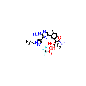 Cc1ccc(C(O)(C(N)=O)C(F)(F)F)cc1-c1cnc(N)c(-c2cnn(CC(F)(F)F)c2)n1.O=C(O)C(F)(F)F